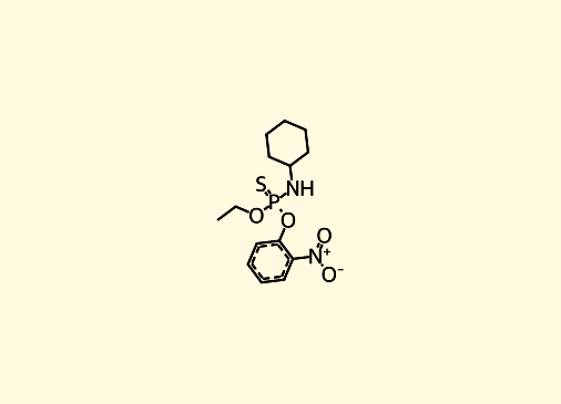 CCOP(=S)(NC1CCCCC1)Oc1ccccc1[N+](=O)[O-]